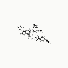 COc1ccc(S(=O)(=O)N2CCC(Nc3nc(NC4CCC(N)CC4)nc4c3ncn4C3CCCC3)CC2)cc1.Cl.Cl